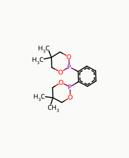 CC1(C)COP(c2ccccc2P2OCC(C)(C)CO2)OC1